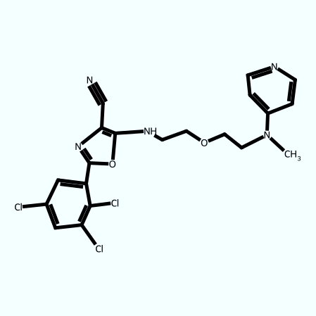 CN(CCOCCNc1oc(-c2cc(Cl)cc(Cl)c2Cl)nc1C#N)c1ccncc1